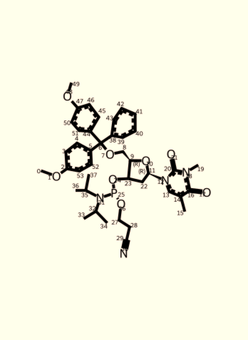 COc1ccc(C(OC[C@H]2O[C@@H](n3cc(C)c(=O)n(C)c3=O)CC2OP(OCCC#N)N(C(C)C)C(C)C)(c2ccccc2)c2ccc(OC)cc2)cc1